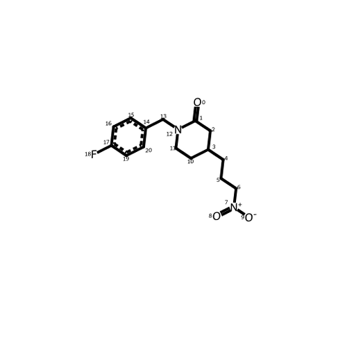 O=C1CC(CCC[N+](=O)[O-])CCN1Cc1ccc(F)cc1